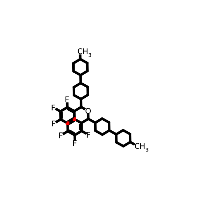 CC1CCC(C2CCC(C(OC(c3ccc(F)c(F)c3F)C3CCC(C4CCC(C)CC4)CC3)c3ccc(F)c(F)c3F)CC2)CC1